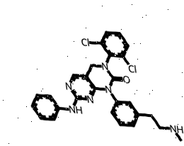 CNCCc1cccc(N2C(=O)N(c3c(Cl)cccc3Cl)Cc3cnc(Nc4ccccc4)nc32)c1